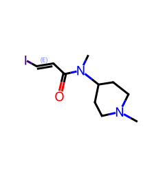 CN1CCC(N(C)C(=O)/C=C/I)CC1